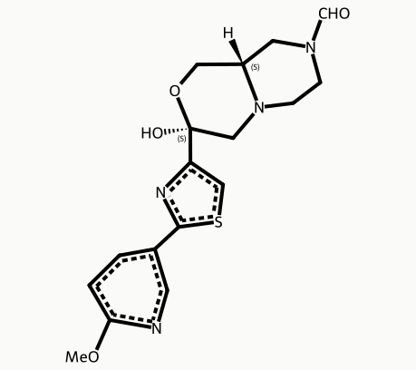 COc1ccc(-c2nc([C@]3(O)CN4CCN(C=O)C[C@H]4CO3)cs2)cn1